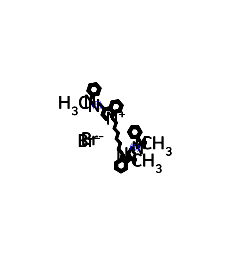 CN(/N=C/c1cc[n+](CCCCCC[n+]2c(/C=N/N(C)c3ccccc3)n(C)c3ccccc32)c2ccccc12)c1ccccc1.[Br-].[Br-]